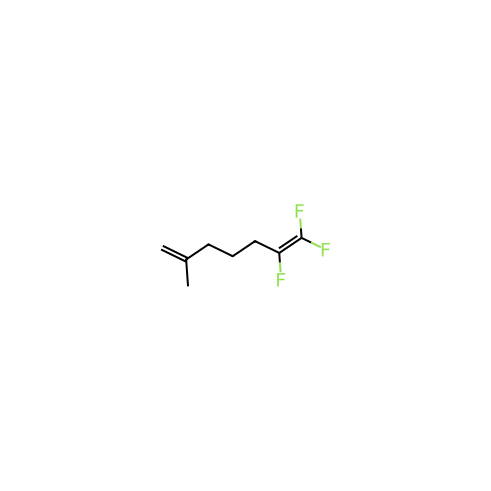 C=C(C)CCCC(F)=C(F)F